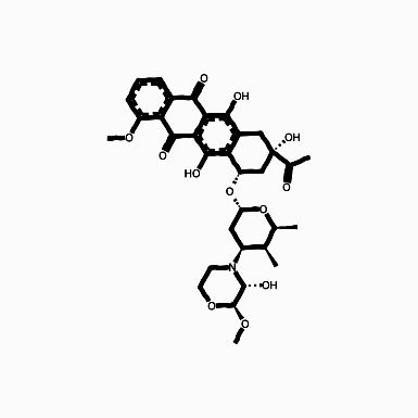 COc1cccc2c1C(=O)c1c(O)c3c(c(O)c1C2=O)C[C@@](O)(C(C)=O)C[C@@H]3O[C@H]1C[C@H](N2CCO[C@H](OC)[C@H]2O)[C@H](C)[C@H](C)O1